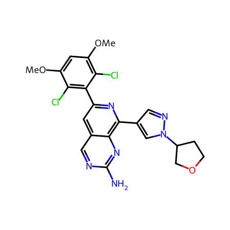 COc1cc(OC)c(Cl)c(-c2cc3cnc(N)nc3c(-c3cnn(C4CCOC4)c3)n2)c1Cl